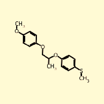 COc1ccc(OCC(C)Oc2ccc(SC)cc2)cc1